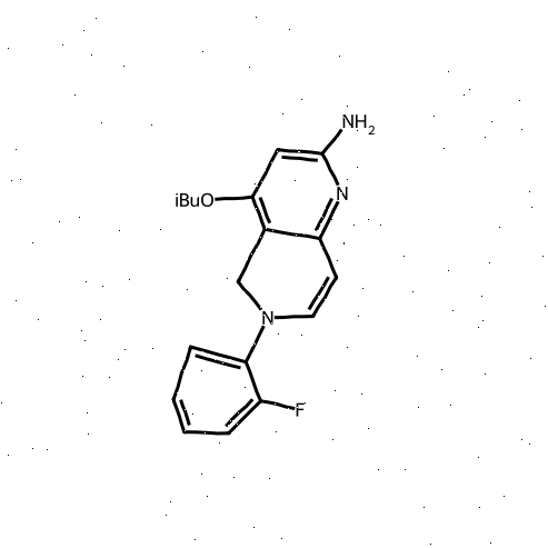 CC(C)COc1cc(N)nc2c1CN(c1ccccc1F)C=C2